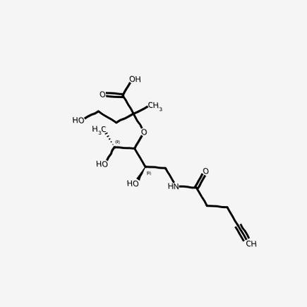 C#CCCC(=O)NC[C@@H](O)C(OC(C)(CCO)C(=O)O)[C@@H](C)O